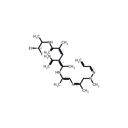 C=C/C=N\N(C)C/C(C)=N\C=C(/C)N/C(C)=C(/C=C(/C)C(=C)NC(C)[C@@H](F)CC)C(=C)N